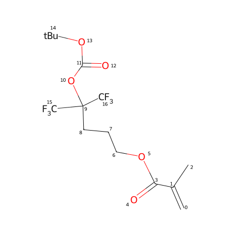 C=C(C)C(=O)OCCCC(OC(=O)OC(C)(C)C)(C(F)(F)F)C(F)(F)F